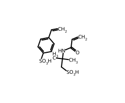 C=CC(=O)NC(C)(C)CS(=O)(=O)O.C=Cc1ccc(S(=O)(=O)O)cc1